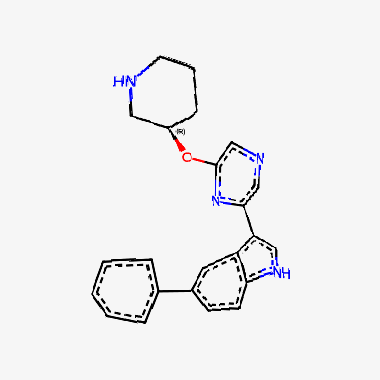 c1ccc(-c2ccc3[nH]cc(-c4cncc(O[C@@H]5CCCNC5)n4)c3c2)cc1